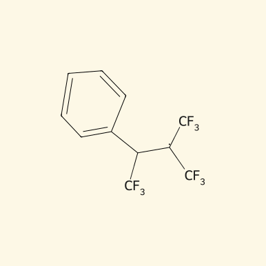 FC(F)(F)[C](C(c1ccccc1)C(F)(F)F)C(F)(F)F